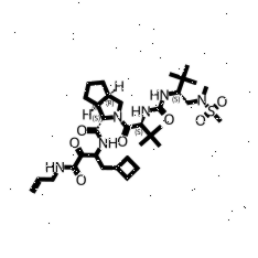 C=CCNC(=O)C(=O)C(CC1CCC1)NC(=O)[C@@H]1[C@H]2CCC[C@H]2CN1C(=O)[C@@H](NC(=O)N[C@H](CN(C)S(C)(=O)=O)C(C)(C)C)C(C)(C)C